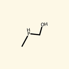 CPCO